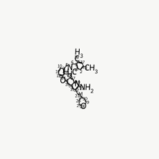 Cc1cc(C)c(CNCc2cccc(Oc3ccc4nc(N)c(CCC5CCOCC5)cc4c3)c2)c(C)c1